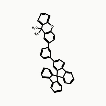 CC1(C)c2ccccc2Oc2ccc(-c3cccc(-c4ccc5c(c4)C4(c6ccccc6-c6ccccc64)c4ccccc4-5)c3)cc21